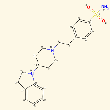 NS(=O)(=O)c1ccc(CCN2CCC(N3CCc4ccccc43)CC2)cc1